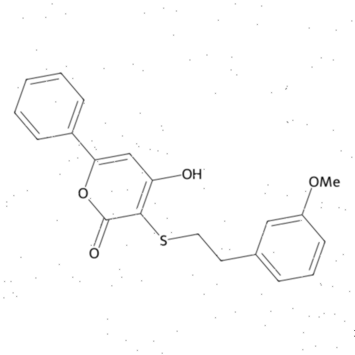 COc1cccc(CCSc2c(O)cc(-c3ccccc3)oc2=O)c1